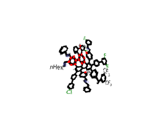 C=C(c1ccc(-c2c(-c3ccc(-c4cc(F)cc(F)c4)cc3)c(-c3ccc(/C=C/c4cccc(F)c4)cc3)c(-c3ccc(-c4ccccc4COC)c(-c4ccc(/C=C/CCCCCC)cc4)c3)c(-c3c(-c4ccc(/C=C/Cc5ccccc5)cc4)c(-c4ccc(-c5ccc(Cl)cc5)cc4)[c]c(-c4ccc(/C=C/c5ccccc5)cc4)c3-c3ccc(-c4ccccc4F)cc3)c2C(C)C)cc1)c1cc(C(F)(F)F)cc(C(F)(F)F)c1